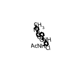 CC(=O)Nc1cc(NC(=O)c2cccc3c2OCCN3c2ccc(C)cn2)ccc1Cl